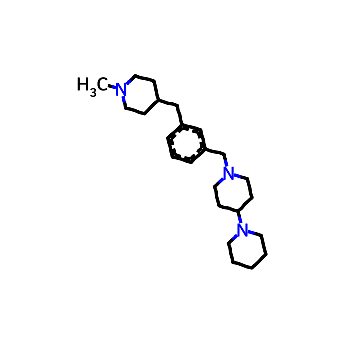 CN1CCC(Cc2cccc(CN3CCC(N4CCCCC4)CC3)c2)CC1